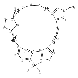 Cn1cc2c(n1)-c1ccc3c(c[nH]c3c1)-c1nc(ncc1C(F)(F)F)N[C@H]1CC[C@@H](C1)NCCCN2